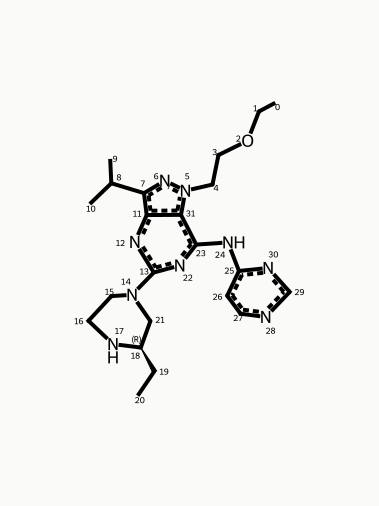 CCOCCn1nc(C(C)C)c2nc(N3CCN[C@H](CC)C3)nc(Nc3ccncn3)c21